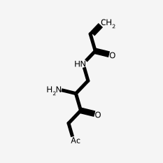 C=CC(=O)NCC(N)C(=O)CC(C)=O